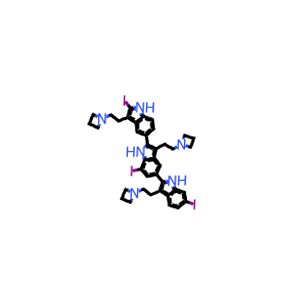 Ic1ccc2c(CCN3CCC3)c(-c3cc(I)c4[nH]c(-c5ccc6[nH]c(I)c(CCN7CCC7)c6c5)c(CCN5CCC5)c4c3)[nH]c2c1